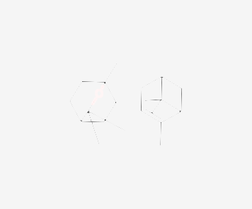 CC12CCC(CC1)C(C)(C)O2.CC1=CCC2CC1C2(C)C